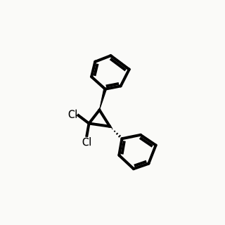 ClC1(Cl)[C@@H](c2ccccc2)[C@@H]1c1ccccc1